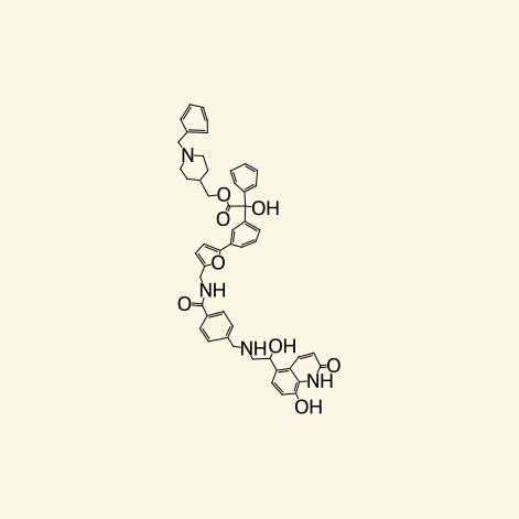 O=C(NCc1ccc(-c2cccc(C(O)(C(=O)OCC3CCN(Cc4ccccc4)CC3)c3ccccc3)c2)o1)c1ccc(CNCC(O)c2ccc(O)c3[nH]c(=O)ccc23)cc1